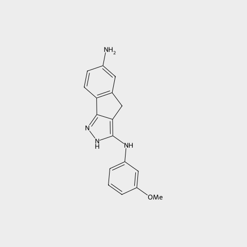 COc1cccc(Nc2[nH]nc3c2Cc2cc(N)ccc2-3)c1